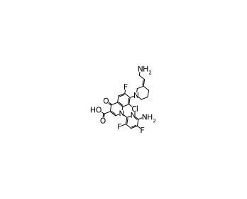 NC/C=C1/CCCN(c2c(F)cc3c(=O)c(C(=O)O)cn(-c4nc(N)c(F)cc4F)c3c2Cl)C1